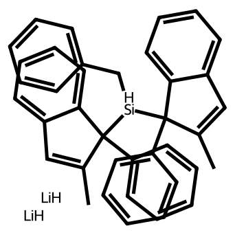 CC1=Cc2ccccc2C1(c1ccccc1)[SiH](Cc1ccccc1)C1(c2ccccc2)C(C)=Cc2ccccc21.[LiH].[LiH]